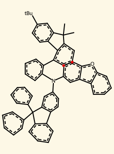 CC(C)(C)c1ccc2c(c1)C(C)(C)c1cccc(-c3ccccc3N(c3ccc4c(c3)C(c3ccccc3)(c3ccccc3)c3ccccc3-4)c3ccc4oc5ccccc5c4c3)c1-2